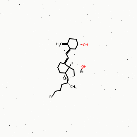 C=C1CC[C@H](O)CC1=CC=C1CCC[C@]2(C)[C@@H]([C@H](C)CCCC(C)C)CC[C@@H]12.CCO